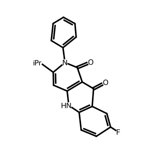 CC(C)c1cc2[nH]c3ccc(F)cc3c(=O)c2c(=O)n1-c1ccccc1